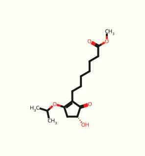 COC(=O)CCCCCCC1=C(OC(C)C)C[C@@H](O)C1=O